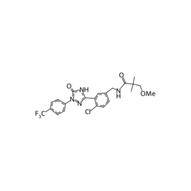 COCC(C)(C)C(=O)NCc1ccc(Cl)c(-c2nn(-c3ccc(C(F)(F)F)cc3)c(=O)[nH]2)c1